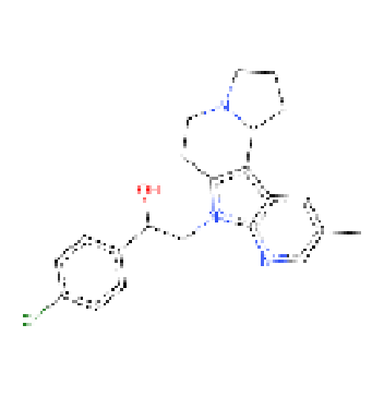 Cc1cnc2c(c1)c1c(n2CC(O)c2ccc(Cl)cc2)CCN2CCCC12